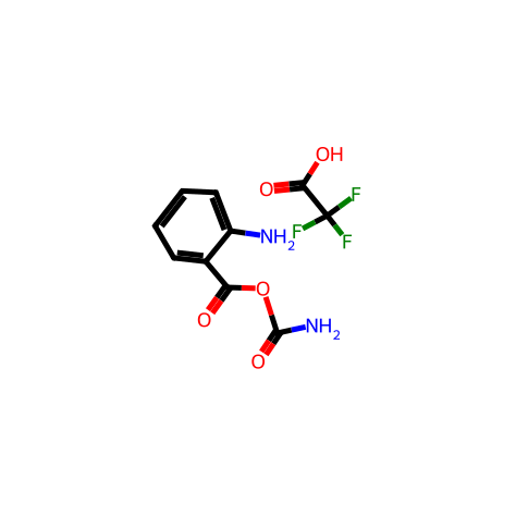 NC(=O)OC(=O)c1ccccc1N.O=C(O)C(F)(F)F